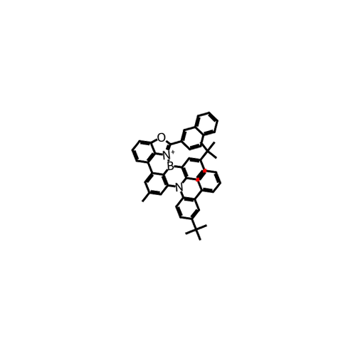 Cc1cc2c3c(c1)N(c1ccc(C(C)(C)C)cc1-c1ccccc1)c1ccc(C(C)(C)C)cc1B3[n+]1c(-c3ccc4ccccc4c3)oc3cccc-2c31